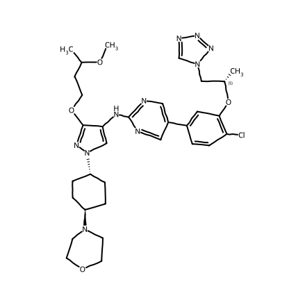 COC(C)CCOc1nn([C@H]2CC[C@H](N3CCOCC3)CC2)cc1Nc1ncc(-c2ccc(Cl)c(O[C@@H](C)Cn3cnnn3)c2)cn1